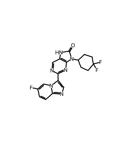 O=c1[nH]c2cnc(-c3cnc4ccc(F)cn34)nc2n1C1CCC(F)(F)CC1